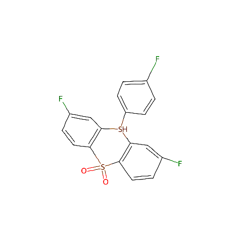 O=S1(=O)c2ccc(F)cc2[SH](c2ccc(F)cc2)c2cc(F)ccc21